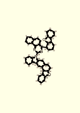 c1ccc2c(c1)ccc1c(-c3cccc4c3oc3ccccc34)nc(-n3c4ccccc4c4cc5c(ccc6oc7ccccc7c65)cc43)nc12